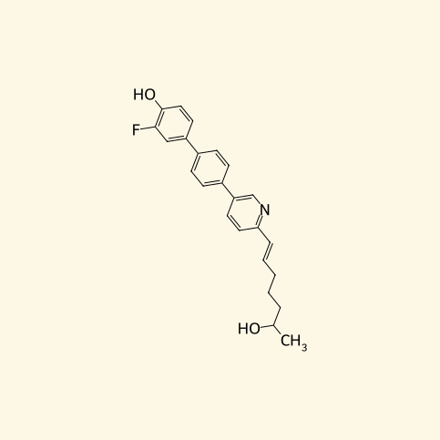 CC(O)CCCC=Cc1ccc(-c2ccc(-c3ccc(O)c(F)c3)cc2)cn1